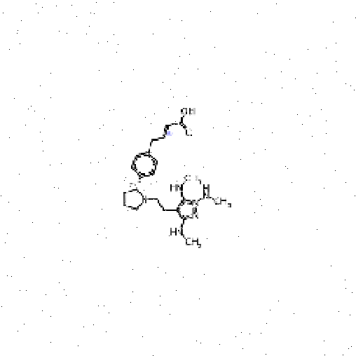 CNc1nn(NC)c(NC)c1CCN1CCC[C@@H]1c1ccc(C/C=C/C(=O)O)cc1